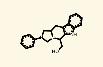 OCC1c2[nH]c3ccccc3c2CC2CN(c3ccccc3)CN21